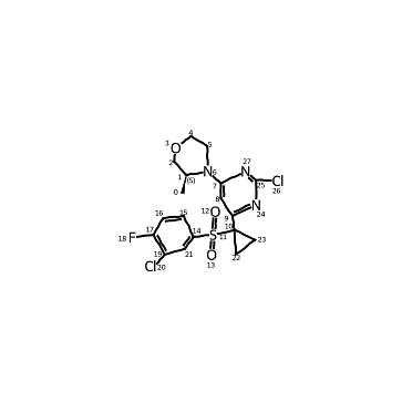 C[C@H]1COCCN1c1cc(C2(S(=O)(=O)c3ccc(F)c(Cl)c3)CC2)nc(Cl)n1